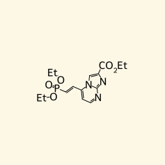 CCOC(=O)c1cn2c(C=CP(=O)(OCC)OCC)ccnc2n1